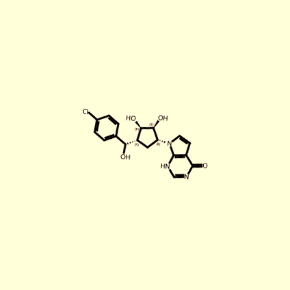 O=c1nc[nH]c2c1ccn2[C@@H]1C[C@H](C(O)c2ccc(Cl)cc2)[C@@H](O)[C@H]1O